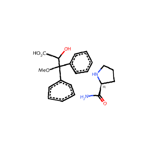 COC(c1ccccc1)(c1ccccc1)C(O)C(=O)O.NC(=O)[C@@H]1CCCN1